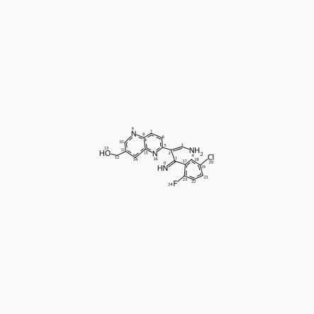 N=C(/C(=C\N)c1ccc2ncc(CO)cc2n1)c1cc(Cl)ccc1F